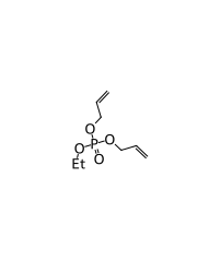 C=CCOP(=O)(OCC)OCC=C